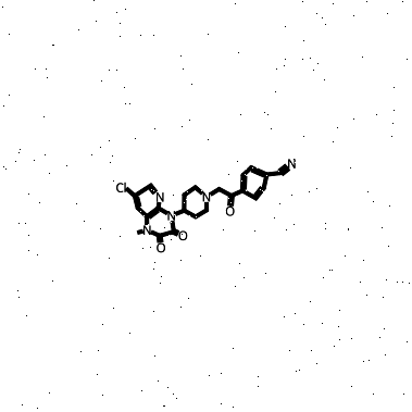 Cn1c(=O)c(=O)n(C2CCN(CC(=O)c3ccc(C#N)cc3)CC2)c2ncc(Cl)cc21